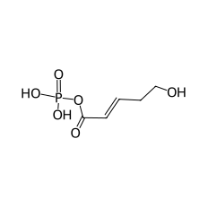 O=C(C=CCCO)OP(=O)(O)O